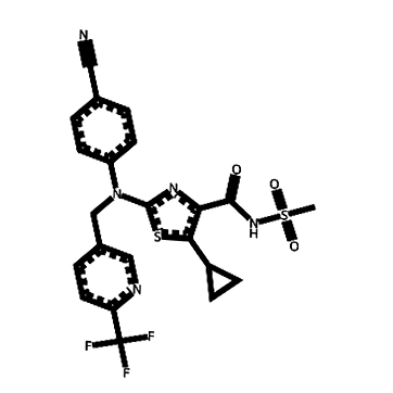 CS(=O)(=O)NC(=O)c1nc(N(Cc2ccc(C(F)(F)F)nc2)c2ccc(C#N)cc2)sc1C1CC1